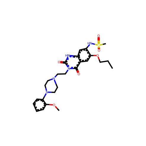 CCCOc1cc2c(=O)n(CCN3CCN(c4ccccc4OC)CC3)c(=O)[nH]c2cc1NS(C)(=O)=O